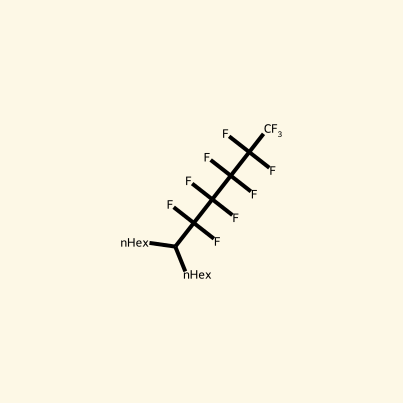 CCCCCC[C](CCCCCC)C(F)(F)C(F)(F)C(F)(F)C(F)(F)C(F)(F)F